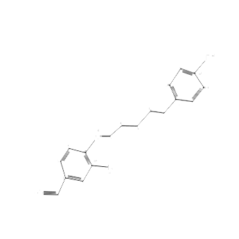 O=Cc1ccc(OCCCCCc2ccc(F)cc2)c(Br)c1